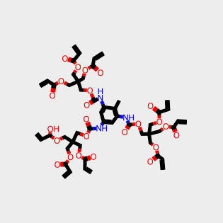 C=CC(=O)OCC(COC(=O)C=C)(COC(=O)C=C)COC(=O)Nc1cc(NC(=O)OCC(COC(=O)C=C)(COC(=O)C=C)COC(O)C=C)cc(NC(=O)OCC(COC(=O)C=C)(COC(=O)C=C)COC(=O)C=C)c1C